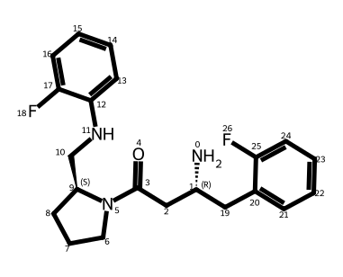 N[C@@H](CC(=O)N1CCC[C@H]1CNc1ccccc1F)Cc1ccccc1F